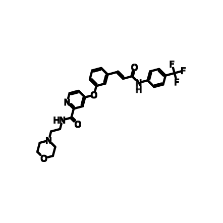 O=C(/C=C/c1cccc(Oc2ccnc(C(=O)NCCN3CCOCC3)c2)c1)Nc1ccc(C(F)(F)F)cc1